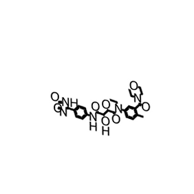 Cc1ccc(N2CCO[C@H]([C@@H](O)C(=O)Nc3ccc(-c4noc(=O)[nH]4)cc3)C2=O)cc1C(=O)N1CCOCC1